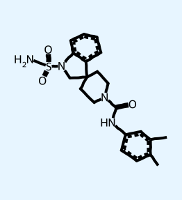 Cc1ccc(NC(=O)N2CCC3(CC2)CN(S(N)(=O)=O)c2ccccc23)cc1C